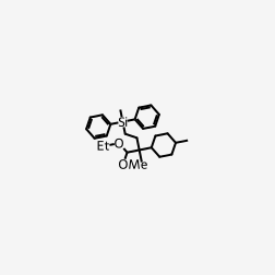 CCOC(OC)C(C)(CC[Si](C)(c1ccccc1)c1ccccc1)C1CCC(C)CC1